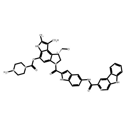 CN1CCN(C(=O)Oc2cc3c(c4c(C(=O)O)c(C(F)(F)F)[nH]c24)[C@H](CCl)CN3C(=O)c2cc3cc(NC(=O)c4cc5c(cn4)[nH]c4ccccc45)ccc3[nH]2)CC1